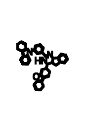 C1=Cc2oc3c(c2CC1)=CCC(C1NC(c2cccc(-n4c5c(c6ccccc64)CCC=C5)c2)=NC2c4ccccc4CC21)C=3